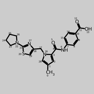 Cc1cc(C(=O)Nc2ccc(C(=O)O)cc2)n(Cc2csc(N3CCCC3)n2)c1